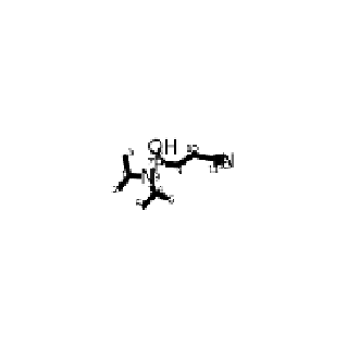 CC(C)N(C(C)C)P(O)CCC#N